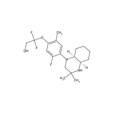 Cc1cc(N2CC(C)(C)N[C@@H]3CCCC[C@@H]32)c(F)cc1OC(F)(F)CO